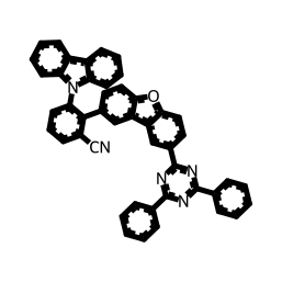 N#Cc1cccc(-n2c3ccccc3c3ccccc32)c1-c1ccc2oc3ccc(-c4nc(-c5ccccc5)nc(-c5ccccc5)n4)cc3c2c1